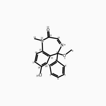 COC1(c2ccccc2)N=CC(=O)N(C)c2ccc(Cl)cc21